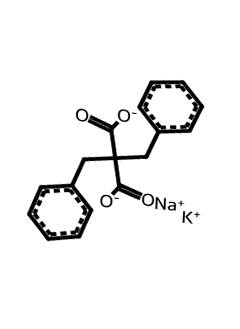 O=C([O-])C(Cc1ccccc1)(Cc1ccccc1)C(=O)[O-].[K+].[Na+]